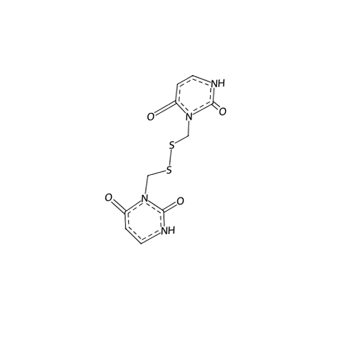 O=c1cc[nH]c(=O)n1CSSCn1c(=O)cc[nH]c1=O